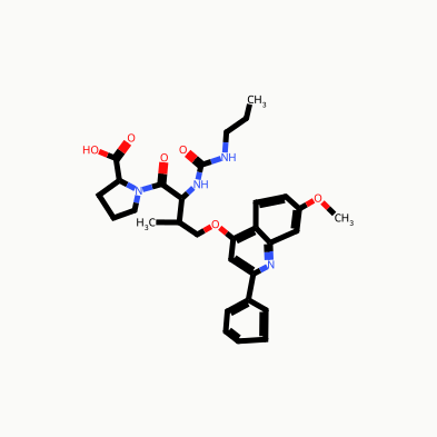 CCCNC(=O)NC(C(=O)N1CCCC1C(=O)O)C(C)COc1cc(-c2ccccc2)nc2cc(OC)ccc12